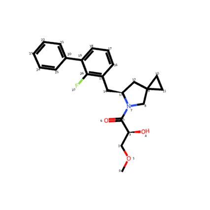 COC[C@H](O)C(=O)N1CC2(CC2)C[C@@H]1Cc1cccc(-c2ccccc2)c1F